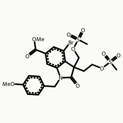 COC(=O)c1cc(Br)c2c(c1)N(Cc1ccc(OC)cc1)C(=O)C2(CCOS(C)(=O)=O)COS(C)(=O)=O